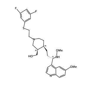 CON[C@@H](CC[C@@H]1CCN(CCSc2cc(F)cc(F)c2)C[C@@H]1CO)c1ccnc2ccc(OC)cc12